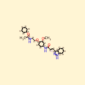 COc1cc(NC(=O)/C=C/c2n[nH]c3ccccc23)ccc1OCCNC(C)Oc1ccccc1